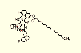 C#Cc1c(F)ccc2cc(OC(=O)CCCCCCCCCCCCCCC)cc(-c3ncc4c(N5CC6CCC(C5)N6C(=O)OC)nc(OC[C@@]56CCCN5C[C@H](F)C6)nc4c3F)c12